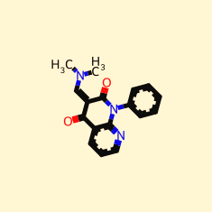 CN(C)C=C1C(=O)c2cccnc2N(c2ccccc2)C1=O